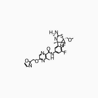 COC[C@]12C[C@H]1[C@](C)(c1cc(NC(=O)c3ncc(OCc4ncco4)nc3C)cc(F)c1F)N=C(N)S2